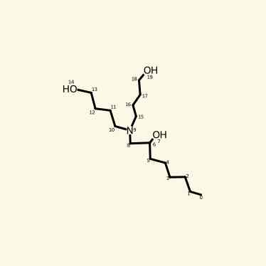 CCCCCCC(O)CN(CCCCO)CCCCO